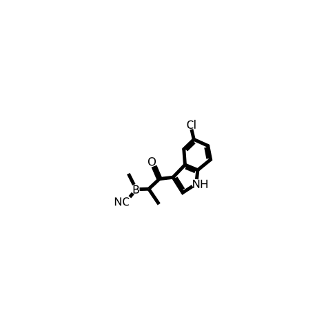 CB(C#N)C(C)C(=O)c1c[nH]c2ccc(Cl)cc12